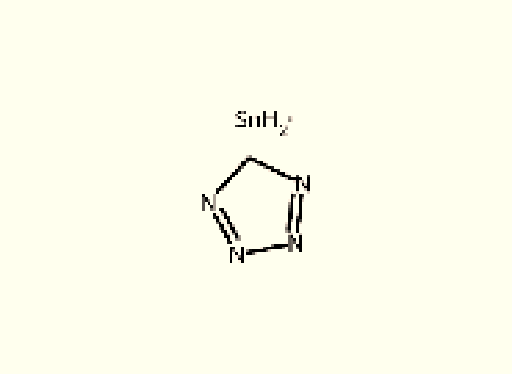 C1N=NN=N1.[SnH2]